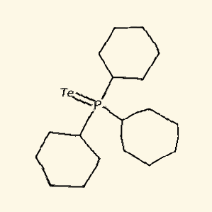 [Te]=P(C1CCCCC1)(C1CCCCC1)C1CCCCC1